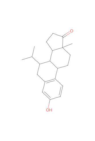 CC(C)C1Cc2cc(O)ccc2C2CCC3(C)C(=O)CCC3C21